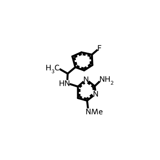 CNc1cc(NC(C)c2ccc(F)cc2)nc(N)n1